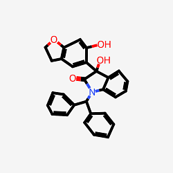 O=C1N(C(c2ccccc2)c2ccccc2)c2ccccc2C1(O)c1cc2c(cc1O)OCC2